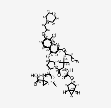 CC[C@@H]1C[C@]1(NC(=O)[C@@H]1C[C@@H](Oc2cc(OCCOC)nc3c(Cl)c(OCCN4CCOCC4)ccc23)CN1C(=O)[C@@H](NC(=O)O[C@@H]1C[C@@H]2C[C@@H]2C1)C(C)(C)C)C(=O)O